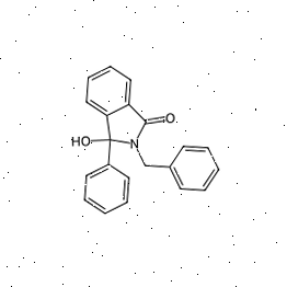 O=C1c2ccccc2C(O)(c2ccccc2)N1Cc1ccccc1